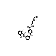 N=CNCCCNC(=O)c1ccc(Nc2cc(NC(=O)c3c(Cl)cccc3Cl)ccn2)nc1